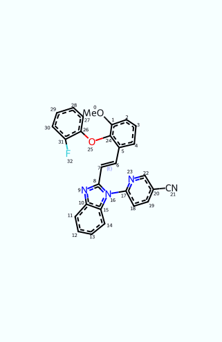 COc1cccc(/C=C/c2nc3ccccc3n2-c2ccc(C#N)cn2)c1Oc1ccccc1F